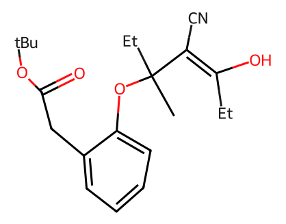 CC/C(O)=C(/C#N)C(C)(CC)Oc1ccccc1CC(=O)OC(C)(C)C